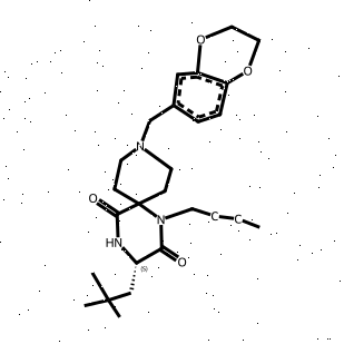 CCCCN1C(=O)[C@H](CC(C)(C)C)NC(=O)C12CCN(Cc1ccc3c(c1)OCCO3)CC2